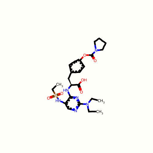 CCN(CC)c1ncc(NS(=O)(=O)CC)c(N[C@@H](Cc2ccc(OC(=O)N3CCCC3)cc2)C(=O)O)n1